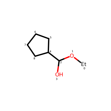 CCOC(O)C1CCCC1